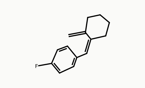 C=C1CCCC/C1=C/c1ccc(F)cc1